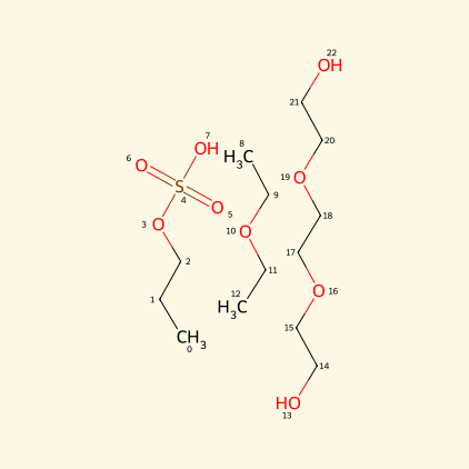 CCCOS(=O)(=O)O.CCOCC.OCCOCCOCCO